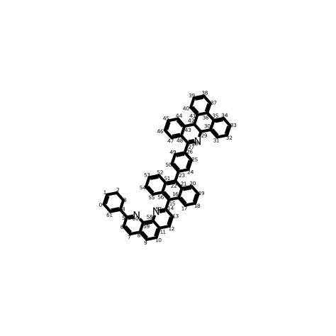 C1=CCCC(c2ccc3ccc4ccc(-c5c6ccccc6c(-c6ccc(C7=NC8c9ccccc9-c9ccccc9C8c8ccccc87)cc6)c6ccccc56)nc4c3n2)=C1